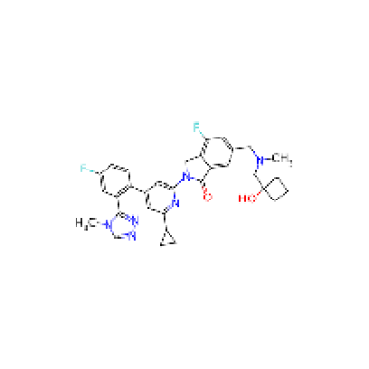 CN(Cc1cc(F)c2c(c1)C(=O)N(c1cc(-c3ccc(F)cc3-c3nncn3C)cc(C3CC3)n1)C2)CC1(O)CCC1